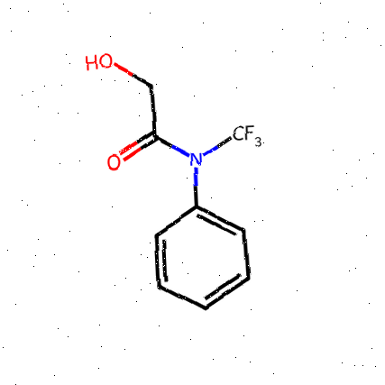 O=C(CO)N(c1ccccc1)C(F)(F)F